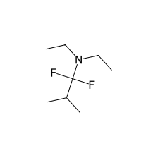 CCN(CC)C(F)(F)C(C)C